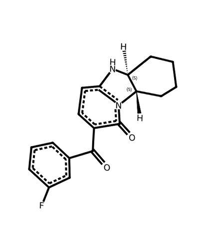 O=C(c1cccc(F)c1)c1ccc2n(c1=O)[C@H]1CCCC[C@@H]1N2